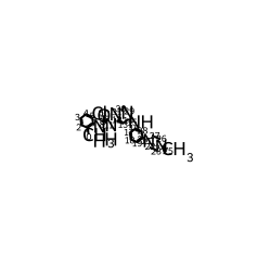 Cc1cccc(Cl)c1NC(=O)Nc1cc(Nc2cccc(N3CCN(C)CC3)c2)ncn1